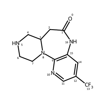 O=C1CC2CNCCN2c2ncc(C(F)(F)F)cc2N1